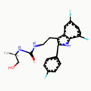 O=C(NCCc1c(-c2ccc(F)cc2)[nH]c2c(F)cc(F)cc12)N[C@@H](CO)C(F)(F)F